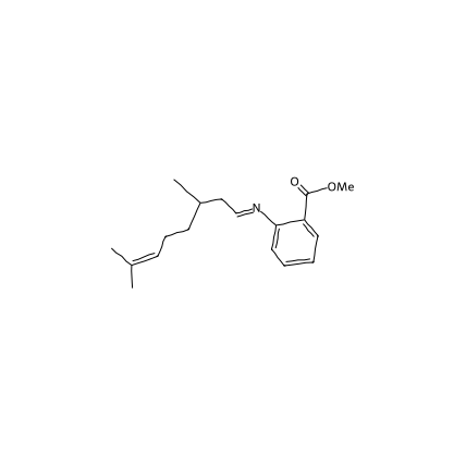 COC(=O)c1ccccc1/N=C/CC(C)CCC=C(C)C